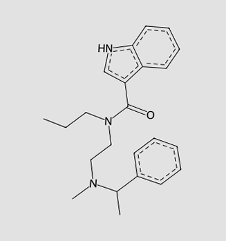 CCCN(CCN(C)C(C)c1ccccc1)C(=O)c1c[nH]c2ccccc12